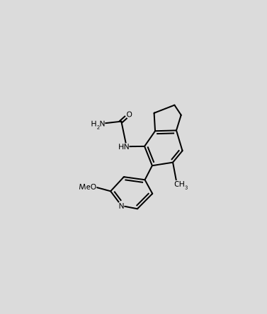 COc1cc(-c2c(C)cc3c(c2NC(N)=O)CCC3)ccn1